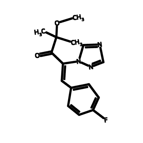 COC(C)(C)C(=O)C(=Cc1ccc(F)cc1)n1cncn1